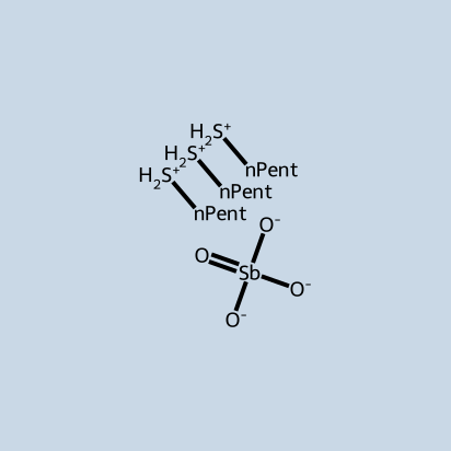 CCCCC[SH2+].CCCCC[SH2+].CCCCC[SH2+].[O]=[Sb]([O-])([O-])[O-]